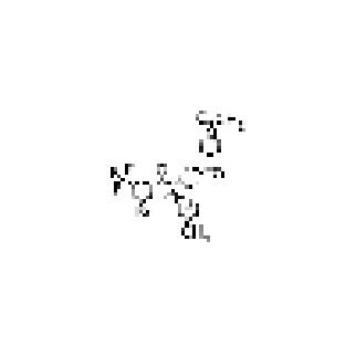 CC(=O)N1CCC(C(=O)N2CC[C@@H](N(C)C(=O)c3cc(Br)cc(C(F)(F)F)c3)[C@H](c3ccc(C)cc3)C2)CC1